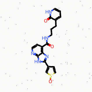 O=C(NCCCc1ccc[nH]c1=O)c1ccnc2[nH]c(-c3cc[s+]([O-])c3)nc12